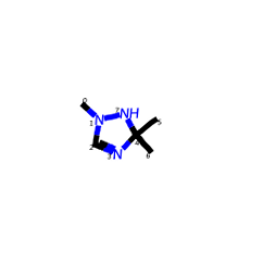 CN1C=NC(C)(C)N1